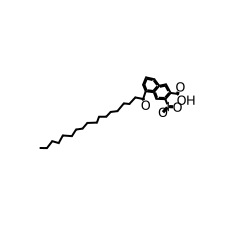 CCCCCCCCCCCCCCCCCC(=O)c1cccc2cc(C(=O)O)c(I(=O)=O)cc12